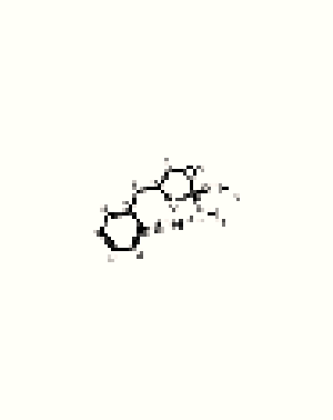 CC1(C)OCC(Cc2ccccc2O)O1